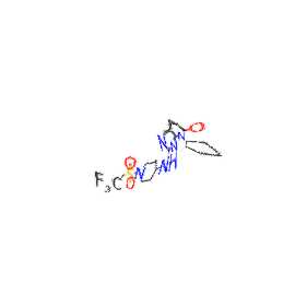 C[C@H]1CCC[C@H]1n1c(=O)ccc2cnc(NC3CCN(S(=O)(=O)CC(F)(F)F)CC3)nc21